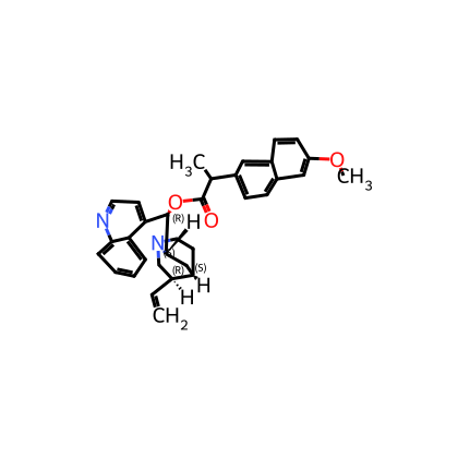 C=C[C@H]1CN2CC[C@H]1C[C@H]2[C@H](OC(=O)C(C)c1ccc2cc(OC)ccc2c1)c1ccnc2ccccc12